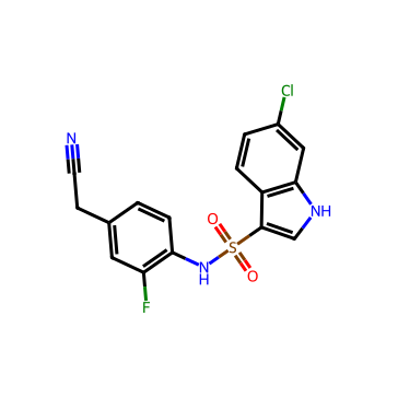 N#CCc1ccc(NS(=O)(=O)c2c[nH]c3cc(Cl)ccc23)c(F)c1